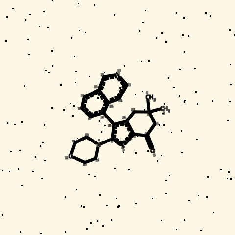 CC1(C)CC(=O)c2sc(N3CCOCC3)c(-c3cccc4cnccc34)c2C1